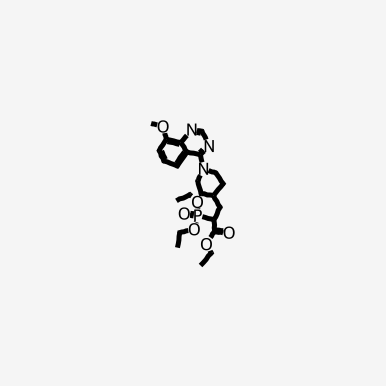 CCOC(=O)C(CC1CCN(c2ncnc3c(OC)cccc23)CC1)P(=O)(OCC)OCC